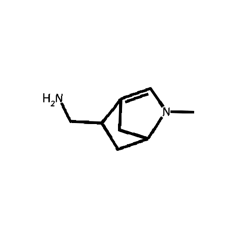 CN1C=C2CC1CC2CN